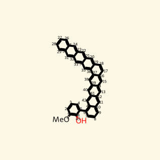 COc1cccc(-c2cccc3cc4cc5cc6ccc7cc8cc9cc%10ccccc%10cc9cc8cc7c6cc5cc4cc23)c1O